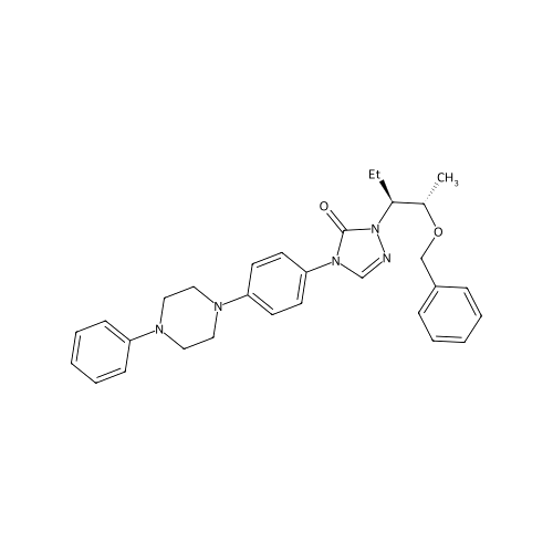 CC[C@@H]([C@H](C)OCc1ccccc1)n1ncn(-c2ccc(N3CCN(c4ccccc4)CC3)cc2)c1=O